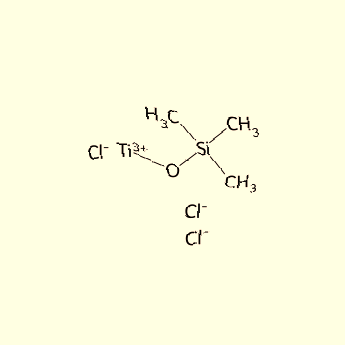 C[Si](C)(C)[O][Ti+3].[Cl-].[Cl-].[Cl-]